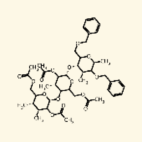 CC(=O)OCC1O[C@@H](O[C@@H]2C(COC(C)=O)O[C@@H](O[C@@H]3C(COCc4ccccc4)O[C@@H](C)C(OCc4ccccc4)[C@H]3C)C(OC(C)=O)[C@H]2C)C(OC(C)=O)[C@@H](C)[C@@H]1C